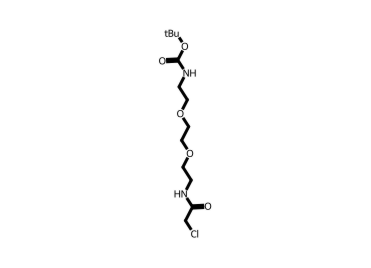 CC(C)(C)OC(=O)NCCOCCOCCNC(=O)CCl